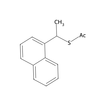 CC(=O)SC(C)c1cccc2ccccc12